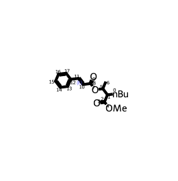 CCCCC(C(=O)OC)C(C)OC(=O)/C=C/c1ccccc1